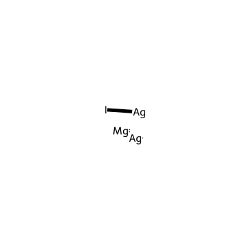 [Ag].[Ag][I].[Mg]